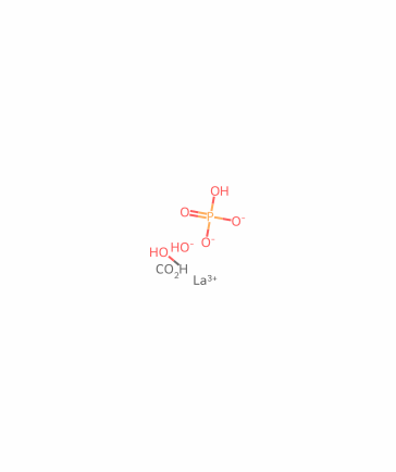 O=C(O)O.O=P([O-])([O-])O.[La+3].[OH-]